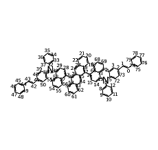 C(=Cc1ccc(N(c2ccccc2)c2ccc(-c3c4ccccc4cc4c(-c5ccc(N(c6ccccc6)c6ccc(C=Cc7ccccc7)cc6)c6ccccc56)c5ccccc5cc34)c3ccccc23)cc1)c1ccccc1